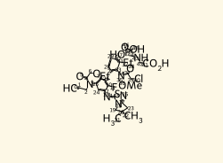 C#CCN1C(=O)COc2cc(F)c(/N=c3\snc4n3CC(C)(C)C4)cc21.CCc1cccc(CC)c1N(COC)C(=O)CCl.O=C(O)CNCP(=O)(O)O